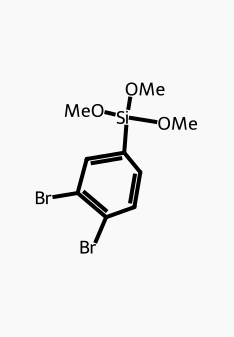 CO[Si](OC)(OC)c1ccc(Br)c(Br)c1